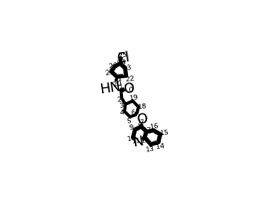 O=C(CC1CCC(Oc2ccnc3ccccc23)CC1)Nc1ccc(Cl)cc1